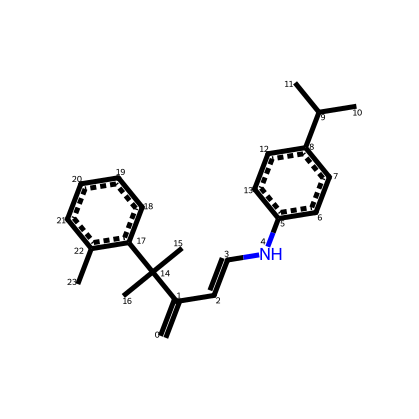 C=C(C=CNc1ccc(C(C)C)cc1)C(C)(C)c1ccccc1C